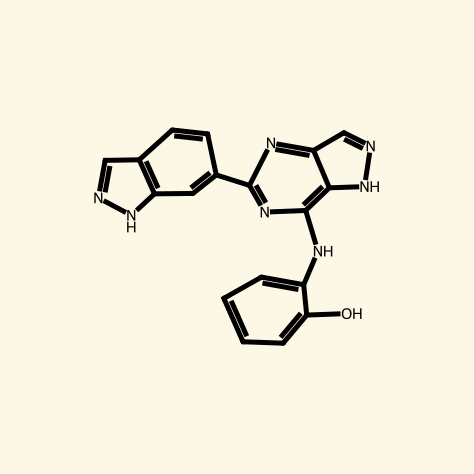 Oc1ccccc1Nc1nc(-c2ccc3cn[nH]c3c2)nc2cn[nH]c12